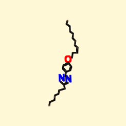 CCCCCCCC/C=C\CCOc1ccc(-c2ncc(CCCCCCC)cn2)cc1